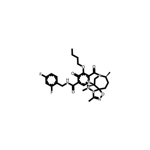 CCCCOc1c2n(cc(C(=O)NCc3ccc(F)cc3F)c1=O)[C@@H]1CN(C2=O)[C@@H](C)CCC12ON=C(C)N2N(C)C